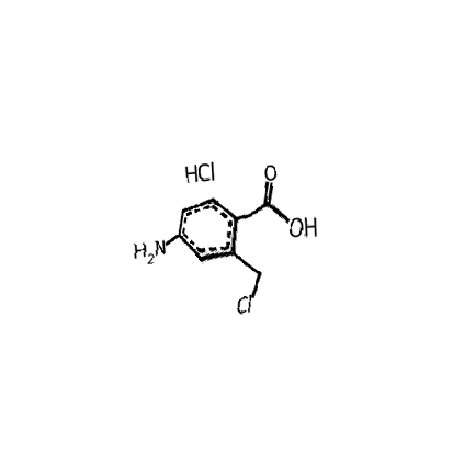 Cl.Nc1ccc(C(=O)O)c(CCl)c1